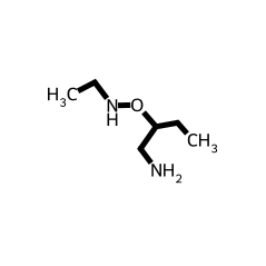 CCNOC(CC)CN